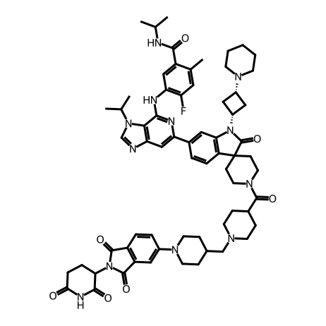 Cc1cc(F)c(Nc2nc(-c3ccc4c(c3)N([C@H]3C[C@@H](N5CCCCC5)C3)C(=O)C43CCN(C(=O)C4CCN(CC5CCN(c6ccc7c(c6)C(=O)N(C6CCC(=O)NC6=O)C7=O)CC5)CC4)CC3)cc3ncn(C(C)C)c23)cc1C(=O)NC(C)C